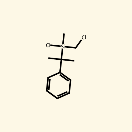 CC(C)(c1ccccc1)[Si](C)(Cl)CCl